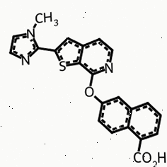 Cn1ccnc1-c1cc2ccnc(Oc3ccc4c(C(=O)O)cccc4c3)c2s1